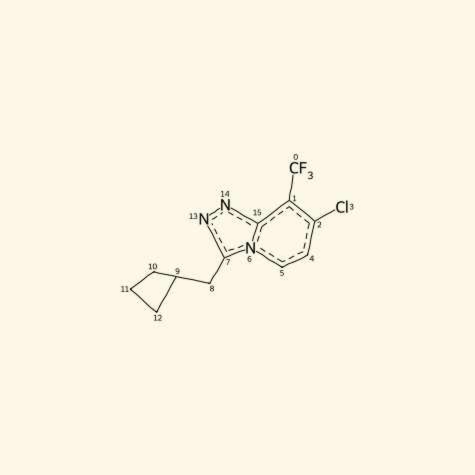 FC(F)(F)c1c(Cl)ccn2c(CC3CCC3)nnc12